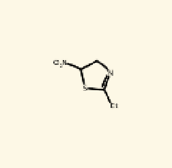 CCC1=NCC([N+](=O)[O-])S1